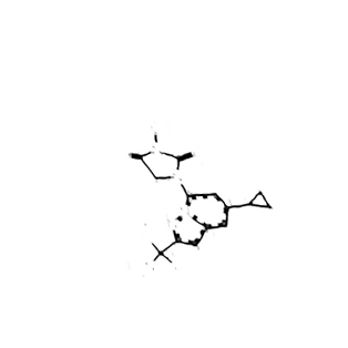 CN1C(=O)CN(c2cc(C3CC3)cc3cc(C(C)(C)N)nn23)C1=O